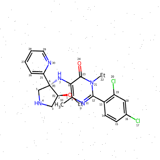 CCO[C@H]1CNC[C@@]1(Nc1c(C)nc(-c2ccc(Cl)cc2Cl)n(CC)c1=O)c1ccccn1